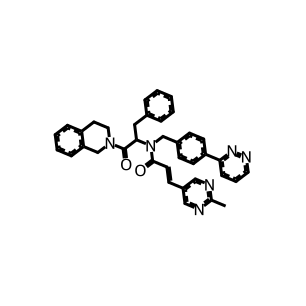 Cc1ncc(C=CC(=O)N(Cc2ccc(-c3cccnn3)cc2)C(Cc2ccccc2)C(=O)N2CCc3ccccc3C2)cn1